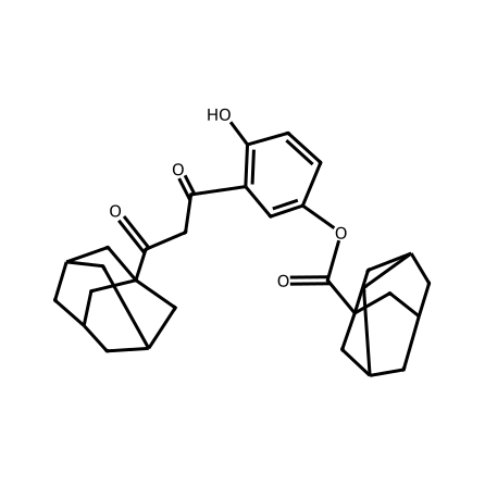 O=C(CC(=O)C12CC3CC(CC(C3)C1)C2)c1cc(OC(=O)C23CC4CC(CC(C4)C2)C3)ccc1O